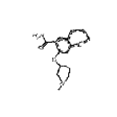 CN1CCC(Oc2cc3ccccc3cc2C(N)=O)C1